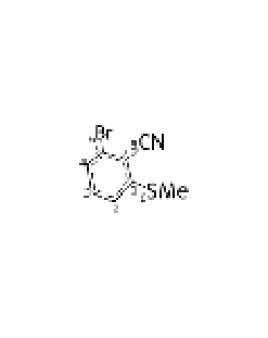 CSc1cccc(Br)c1C#N